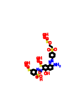 Nc1ccc2c(O)c(/N=N/c3cc(SOOO)ccc3S(=O)(=O)O)c(SOOO)cc2c1/N=N/c1ccc(S(=O)(=O)CCOSOOO)cc1